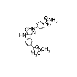 CN(C)OC(=O)c1ccc2c(c1)C(=NNc1ccc(S(N)(=O)=O)cc1)C(=O)N2